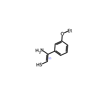 CCOc1cccc(/C(N)=C/S)c1